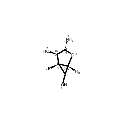 N[C@@H]1O[C@@H]2C(O)[C@]2(F)[C@H]1O